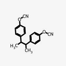 CC(c1ccc(OC#N)cc1)C(C)c1ccc(OC#N)cc1